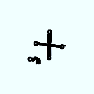 O=S(=O)([O-])[O-].[Co+2].[N]